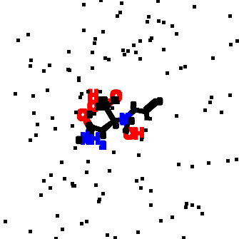 C=CCN(O)[C@@H](CC(N)=O)C(=O)O